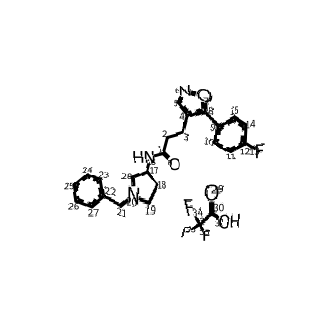 O=C(CCc1cnoc1-c1ccc(F)cc1)NC1CCN(Cc2ccccc2)C1.O=C(O)C(F)(F)F